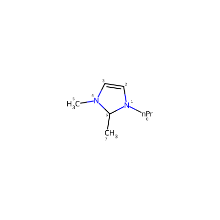 CCCN1C=CN(C)C1C